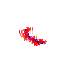 Nc1c(N=Nc2ccc3c(O)c(N=Nc4ccc(N=Nc5c(C(=O)O)nn(-c6cc(S(=O)(=O)O)ccc6S(=O)(=O)O)c5O)c(S(=O)(=O)O)c4)c(S(=O)(=O)O)cc3c2S(=O)(=O)O)cc(S(=O)(=O)O)c2ccc(N=Nc3ccc([N+](=O)[O-])cc3S(=O)(=O)O)c(O)c12